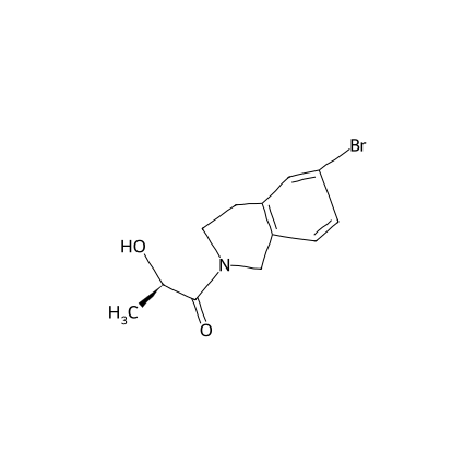 C[C@@H](O)C(=O)N1CCc2cc(Br)ccc2C1